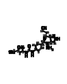 CC(C)(C)c1cc(NC(=O)Nc2ccc(C3=NC(CCC#N)c4n[nH]cc4N3N)cc2)no1